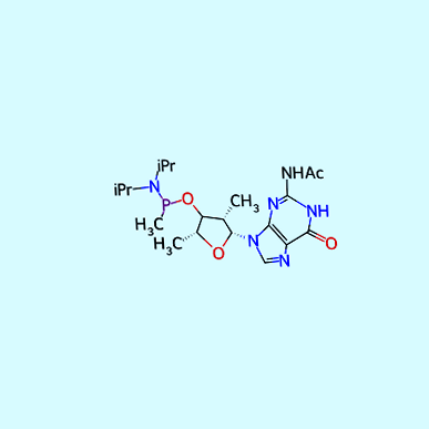 CC(=O)Nc1nc2c(ncn2[C@@H]2O[C@H](C)C(OP(C)N(C(C)C)C(C)C)[C@@H]2C)c(=O)[nH]1